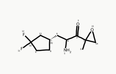 CC1(C(=O)C(N)C[C@@H]2CCC(F)(F)C2)CO1